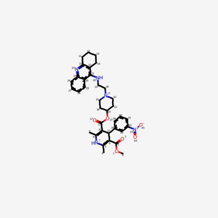 COC(=O)C1=C(C)NC(C)=C(C(=O)OC2CCN(CCNc3c4c(nc5ccccc35)CCCC4)CC2)C1c1cccc([N+](=O)[O-])c1